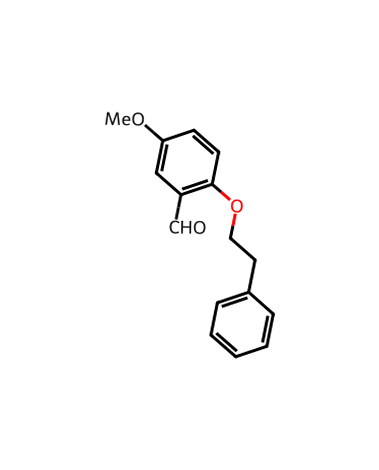 COc1ccc(OCCc2ccccc2)c(C=O)c1